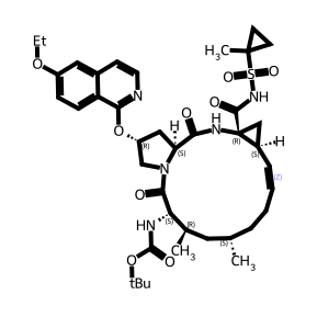 CCOc1ccc2c(O[C@@H]3C[C@H]4C(=O)N[C@]5(C(=O)NS(=O)(=O)C6(C)CC6)C[C@H]5/C=C\CC[C@H](C)C[C@@H](C)[C@H](NC(=O)OC(C)(C)C)C(=O)N4C3)nccc2c1